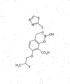 CC(F)COc1ccc2c(c1C(=O)O)OB(O)[C@@H](Sc1nncs1)C2